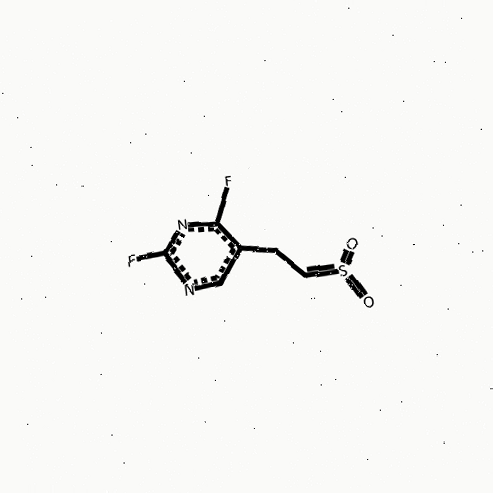 O=S(=O)=CCc1cnc(F)nc1F